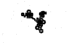 CN(C(=O)[C@@H](CC(=O)OC(C)(C)C)Cc1ccccc1)[C@@H](CCCCNS(=O)(=O)c1ccccc1[N+](=O)[O-])CNC(=O)OCC1c2ccccc2-c2ccccc21